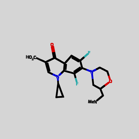 CNCC1CN(c2c(F)cc3c(=O)c(C(=O)O)cn(C4CC4)c3c2F)CCO1